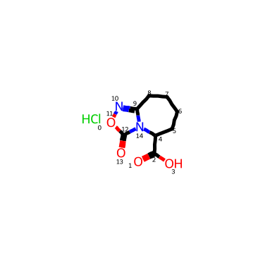 Cl.O=C(O)C1CCCCc2noc(=O)n21